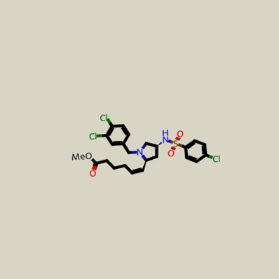 COC(=O)CCC/C=C\[C@@H]1C[C@@H](NS(=O)(=O)c2ccc(Cl)cc2)CN1Cc1ccc(Cl)c(Cl)c1